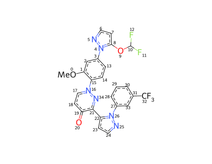 COc1cc(-n2nccc2OC(F)F)ccc1-n1ccc(=O)c(-c2ccnn2-c2cccc(C(F)(F)F)c2)n1